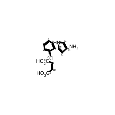 Clc1ccccc1.N.O=C(O)/C=C\C(=O)O.c1cc[nH]c1